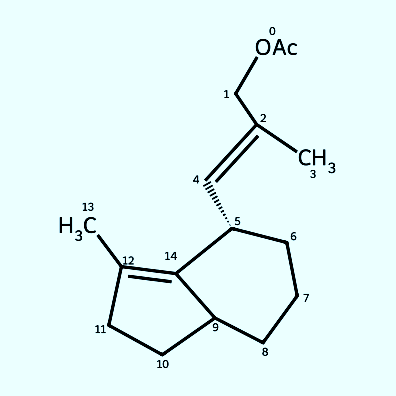 CC(=O)OC/C(C)=C/[C@@H]1CCCC2CCC(C)=C21